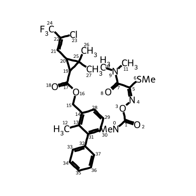 CNC(=O)ON=C(SC)C(=O)N(C)C.Cc1c(COC(=O)C2C(/C=C(\Cl)C(F)(F)F)C2(C)C)cccc1-c1ccccc1